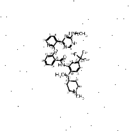 CNc1ncnc(-c2cccnc2Oc2ccccc2C(=O)Nc2cc(C(F)(F)F)ccc2N(C)C2CCN(C)CC2)n1